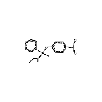 CCNC(C)(Oc1ccc([N+](=O)[O-])cc1)c1ccccc1